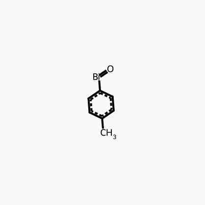 Cc1cc[c]([Bi]=[O])cc1